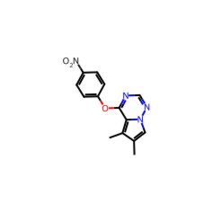 Cc1cn2ncnc(Oc3ccc([N+](=O)[O-])cc3)c2c1C